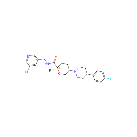 CC(C)[C@]1(C(=O)NCc2cncc(Cl)c2)CCC(N2CCC(c3ccc(F)cc3)CC2)CO1